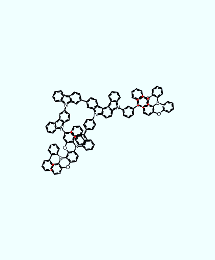 c1ccc(-c2ccc(-n3c4cc(-c5ccc6c7ccccc7n(-c7ccc8c(c7)c7ccccc7n8-c7ccc8c(c7)Oc7c(ccc9c7B(c7ccccc7-c7ccccc7)c7ccccc7O9)B8c7ccccc7-c7ccccc7)c6c5)ccc4c4c5c6ccccc6n(-c6cccc(B7c8ccccc8Oc8c7ccc7c8B(c8ccccc8-c8ccccc8)c8ccccc8O7)c6)c5ccc43)cc2)cc1